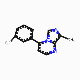 Cc1ncn2c(-c3cccc(C(F)(F)F)c3)ccnc12